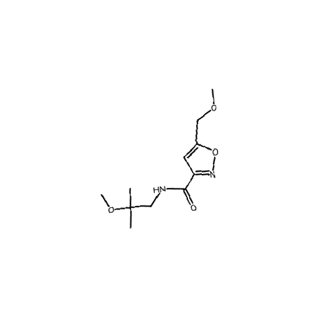 COCc1cc(C(=O)NCC(C)(C)OC)no1